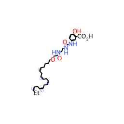 CC/C=C\C/C=C\C/C=C\C/C=C\C/C=C\CCCCOCC(=O)NCCNC(=O)Nc1ccc(O)c(C(=O)O)c1